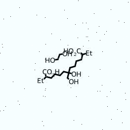 CCC(CCCCC(O)(CO)CCCCC(CC)C(=O)O)C(=O)O.OCCO